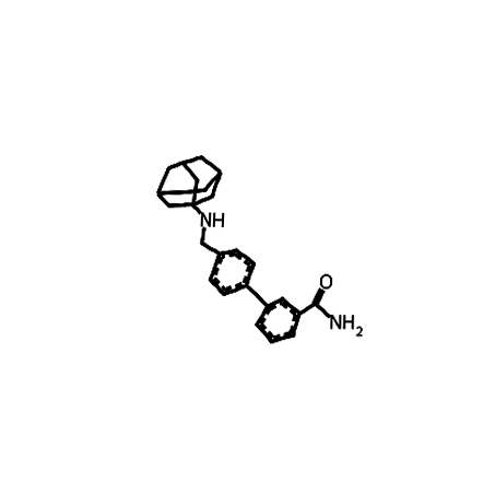 NC(=O)c1cccc(-c2ccc(CNC34CC5CC(CC(C5)C3)C4)cc2)c1